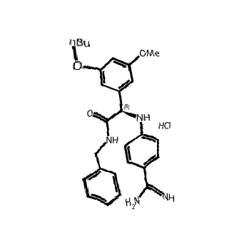 CCCCOc1cc(OC)cc([C@@H](Nc2ccc(C(=N)N)cc2)C(=O)NCc2ccccc2)c1.Cl